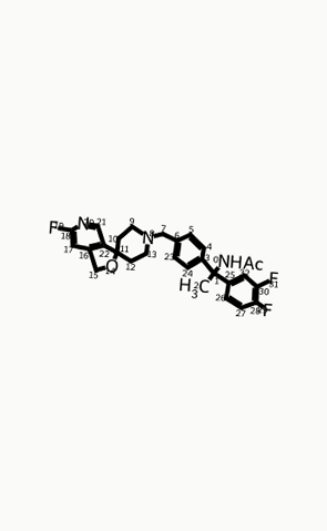 CC(=O)NC(C)(c1ccc(CN2CCC3(CC2)OCc2cc(F)ncc23)cc1)c1ccc(F)c(F)c1